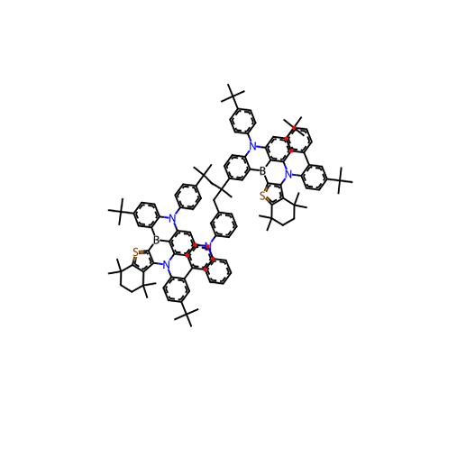 CC(C)(C)c1ccc(N2c3ccc(C(C)(C)C)cc3B3c4sc5c(c4N(c4ccc(C(C)(C)C)cc4-c4ccccc4)c4cc(N(c6ccccc6)c6cccc(CC(C)(C)c7ccc8c(c7)B7c9sc%10c(c9N(c9ccc(C(C)(C)C)cc9-c9ccccc9)c9cc(C(C)(C)C)cc(c97)N8c7ccc(C(C)(C)C)cc7)C(C)(C)CCC%10(C)C)c6)cc2c43)C(C)(C)CCC5(C)C)cc1